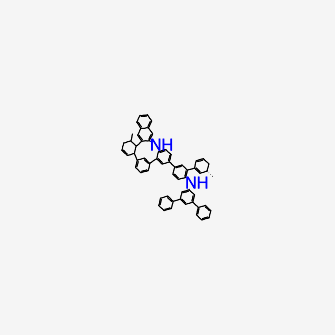 CC1CC=CC2c3cccc(c3)-c3cc(-c4ccc(Nc5cc(-c6ccccc6)cc(-c6ccccc6)c5)c(C5=C[C@@H](C)CC=C5)c4)ccc3Nc3cc4ccccc4cc3C12